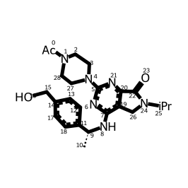 CC(=O)N1CCN(c2nc(N[C@H](C)c3ccc(CO)cc3)c3c(n2)C(=O)N(C(C)C)C3)CC1